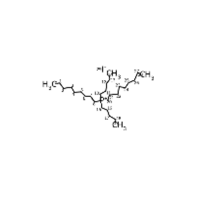 CCCCCCCCC[P+](CCCCC)(CCCCC)CCCCCCCCC.[I-]